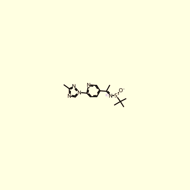 C/C(=N\[S+]([O-])C(C)(C)C)c1ccc(-n2cnc(C)n2)nc1